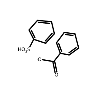 O=S(=O)(O)c1ccccc1.[O]C(=O)c1ccccc1